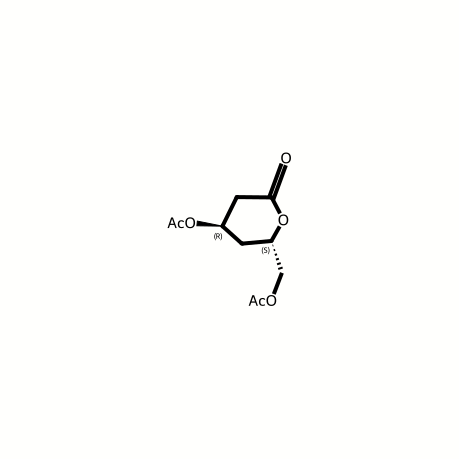 CC(=O)OC[C@@H]1C[C@@H](OC(C)=O)CC(=O)O1